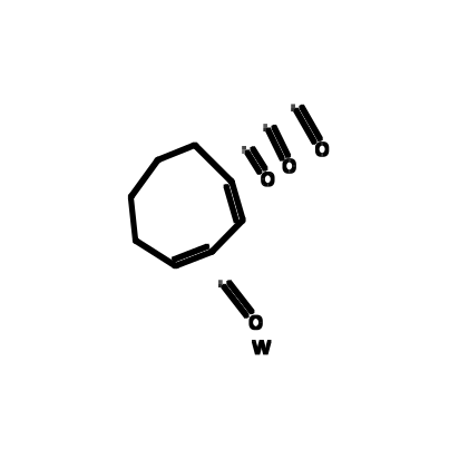 C1=C\CCCC\C=C/1.[C]=O.[C]=O.[C]=O.[C]=O.[W]